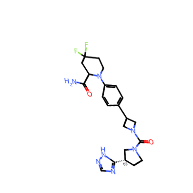 NC(=O)C1CC(F)(F)CCN1c1ccc(C2CN(C(=O)N3CC[C@H](c4ncn[nH]4)C3)C2)cc1